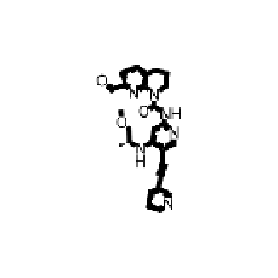 COC[C@@H](C)Nc1cc(NC(=O)N2CCCc3ccc(C=O)nc32)ncc1C#Cc1cccnc1